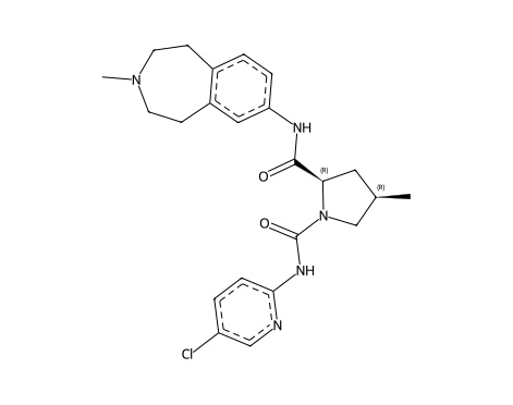 C[C@@H]1C[C@H](C(=O)Nc2ccc3c(c2)CCN(C)CC3)N(C(=O)Nc2ccc(Cl)cn2)C1